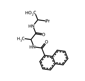 CC(NC(=O)c1cccc2ccccc12)C(=O)NC(C(=O)O)C(C)C